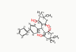 CC1(C)CC(=O)C(C(C2=C(O)CC(C)(C)CC2=O)c2ccc(-c3ccccc3)cc2)=C(O)C1